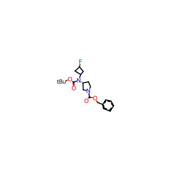 CC(C)(C)OC(=O)N(C1CC(F)C1)[C@@H]1CCN(C(=O)OCc2ccccc2)C1